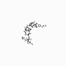 CCOC(=O)c1cnn(Cc2cn3ccc(C4CC4(C)C)cc3n2)c1